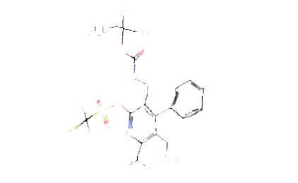 CC(C)c1nc(OS(=O)(=O)C(F)(F)F)c(CNC(=O)OC(C)(C)C)c(-c2ccc(F)cc2)c1CO